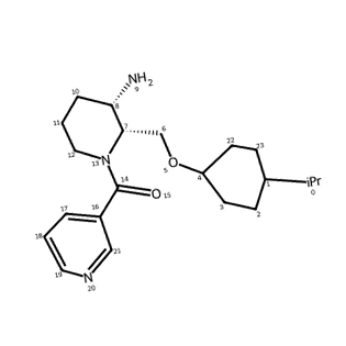 CC(C)C1CCC(OC[C@H]2[C@@H](N)CCCN2C(=O)c2cccnc2)CC1